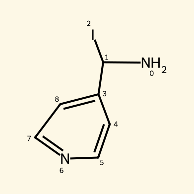 NC(I)c1ccncc1